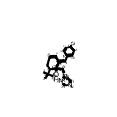 CC(C)(C)C1CCCC(=Cc2ccc(Cl)cc2)C1(O)Cn1cncn1